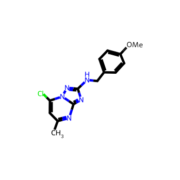 COc1ccc(CNc2nc3nc(C)cc(Cl)n3n2)cc1